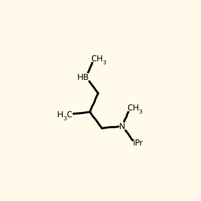 CBCC(C)CN(C)C(C)C